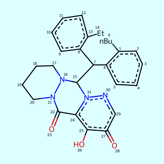 CCCCc1ccccc1C(c1ccccc1CC)C1N2CCCCN2C(=O)c2c(O)c(=O)cnn21